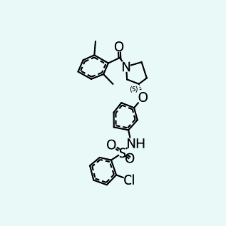 Cc1cccc(C)c1C(=O)N1CC[C@H](Oc2cccc(NS(=O)(=O)c3ccccc3Cl)c2)C1